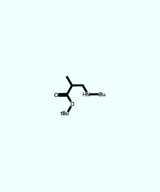 CCC(C)NCC(C)C(=O)OC(C)(C)C